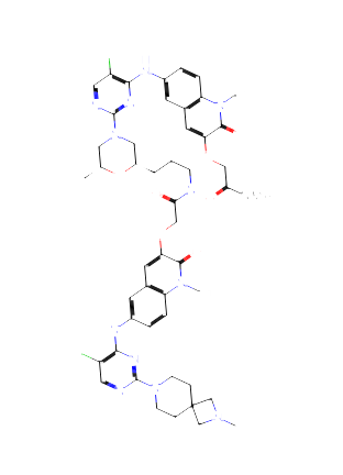 CNC(=O)COc1cc2cc(Nc3nc(N4C[C@@H](CCCNC(=O)COc5cc6cc(Nc7nc(N8CCC9(CC8)CN(C)C9)ncc7Cl)ccc6n(C(C)C)c5=O)O[C@@H](C)C4)ncc3Cl)ccc2n(C(C)C)c1=O